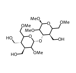 COCC1O[C@H](O[C@@H]2C(OC)[C@@H](OC)OC(COC)[C@H]2CO)C(OC)[C@@H](CO)[C@@H]1CO